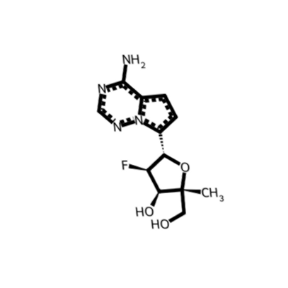 C[C@]1(CO)O[C@@H](c2ccc3c(N)ncnn23)[C@H](F)[C@@H]1O